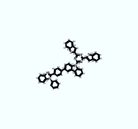 c1ccc(-n2c(-c3ccc(-c4ccc5c(c4)c4ccccc4n5-c4nc(-c5cc6ccccc6s5)nc(-c5cc6ccccc6s5)n4)cc3)nc3ccccc32)cc1